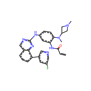 C=CC(=O)Nc1cc(Nc2ncc3cccc(-c4cncc(F)c4)c3n2)ccc1N(C)C1CN(C)C1